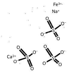 O=S(=O)([O-])[O-].O=S(=O)([O-])[O-].O=S(=O)([O-])[O-].[Ca+2].[Fe+3].[Na+]